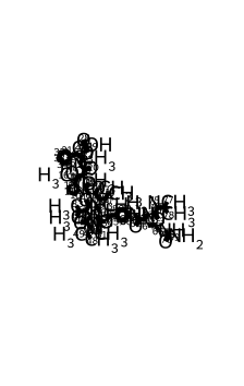 CC[C@H](C)[C@@H]([C@@H](CC(=O)N1CCC[C@H]1[C@H](OC)[C@@H](C)C(=O)N[C@H](C)[C@@H](OS(=O)(=O)O)c1ccccc1)OC)N(C)C(=O)[C@@H](NC(=O)[C@H](C(C)C)N(C)C(=O)OCc1ccc(NC(=O)[C@H](CCCNC(N)=O)NC(=O)[C@@H](N)C(C)C)cc1)C(C)C